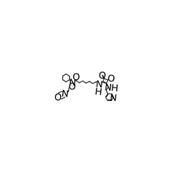 O=C(CCCCCCNc1c(NCc2cccnc2)c(=O)c1=O)N(OCCN1CCOCC1)C1CCCCC1